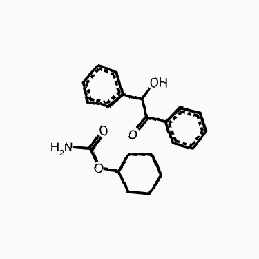 NC(=O)OC1CCCCC1.O=C(c1ccccc1)C(O)c1ccccc1